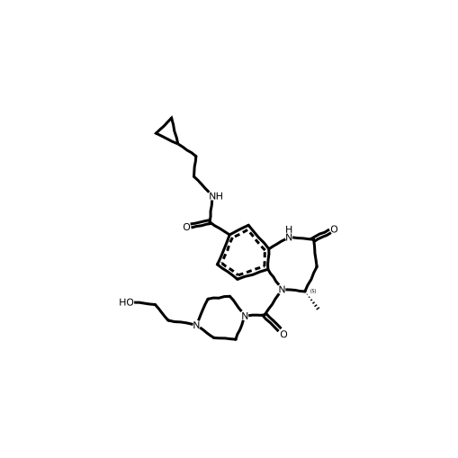 C[C@H]1CC(=O)Nc2cc(C(=O)NCCC3CC3)ccc2N1C(=O)N1CCN(CCO)CC1